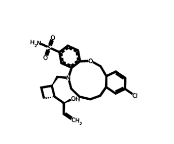 C=C[C@H](O)[C@@H]1CC[C@H]1CN1CCCCC2C=C(Cl)C=CC2COc2ccc(S(N)(=O)=O)cc21